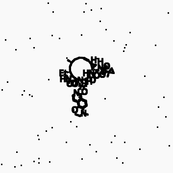 CC[C@@H]1C[C@@H](C)CCC=C[C@@H]2C[C@@]2(C(=O)NS(=O)(=O)C2(C)CC2)NC(=O)[C@@H]2C[C@@H](Oc3nccc4c5c(ccc34)N(C)CCO5)CN2C(=O)[C@H]1NC(=O)O